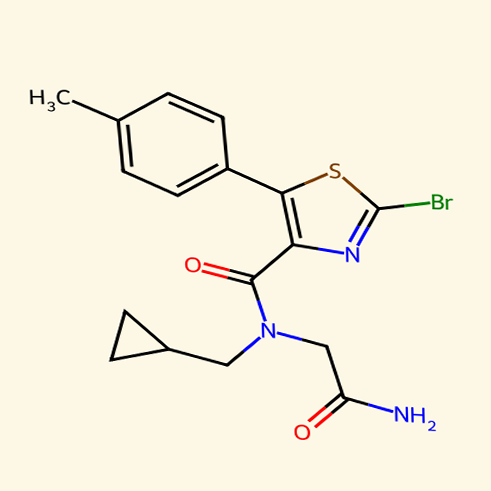 Cc1ccc(-c2sc(Br)nc2C(=O)N(CC(N)=O)CC2CC2)cc1